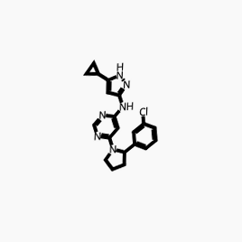 Clc1cccc(C2CCCN2c2cc(Nc3cc(C4CC4)[nH]n3)ncn2)c1